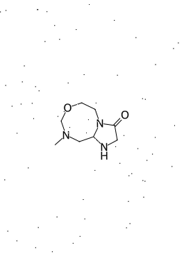 CN1COCCN2C(=O)CNC2C1